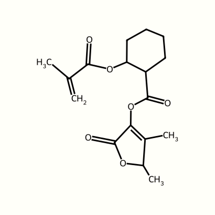 C=C(C)C(=O)OC1CCCCC1C(=O)OC1=C(C)C(C)OC1=O